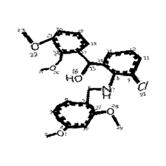 COc1ccc(CNc2c(Cl)cccc2C(O)c2cccc(OC)c2OC)c(OC)c1